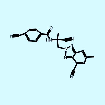 Cc1cc(C#N)c2nn(CC(C)(C#N)NC(=O)c3ccc(C#N)cc3)nc2c1